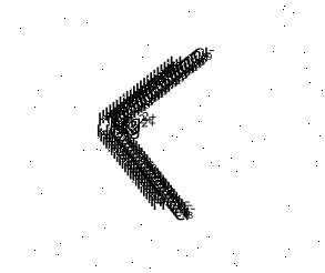 Cl.Cl.Cl.Cl.Cl.Cl.Cl.Cl.Cl.Cl.Cl.Cl.Cl.Cl.Cl.Cl.Cl.Cl.Cl.Cl.Cl.Cl.Cl.Cl.Cl.Cl.Cl.Cl.Cl.Cl.Cl.Cl.Cl.Cl.Cl.Cl.Cl.Cl.Cl.Cl.Cl.Cl.Cl.Cl.[Cl-].[Cl-].[Cl-].[Cl-].[Cl-].[Cl-].[Mg+2].[Mg+2].[Mg+2]